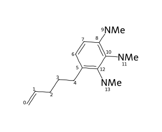 C=CCCCc1ccc(NC)c(NC)c1NC